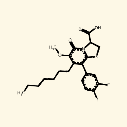 CCCCCCCc1c(-c2ccc(F)c(F)c2)c2n(c(=O)c1OC)C(C(=O)O)CS2